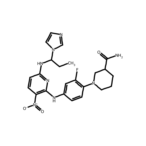 CCC(Nc1ccc([N+](=O)[O-])c(Nc2ccc(N3CCCC(C(N)=O)C3)c(F)c2)n1)n1ccnc1